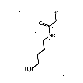 NCCCCNC(=O)CBr